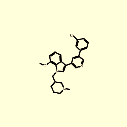 COc1cccc2c(-c3cncc(-c4cccc(Cl)c4)c3)cn(CC3CCCN(C)C3)c12